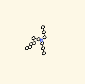 c1ccc(-c2ccc(-c3ccc(N(c4ccc(-c5ccccc5-c5cccc6c5ccc5c7ccccc7ccc65)cc4)c4cccc(-c5ccc(-c6ccccc6)cc5)c4)cc3)cc2)cc1